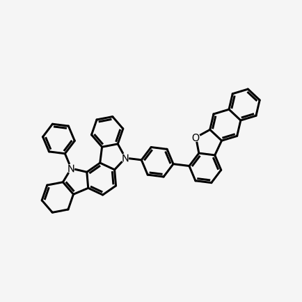 C1=Cc2c(c3ccc4c(c5ccccc5n4-c4ccc(-c5cccc6c5oc5cc7ccccc7cc56)cc4)c3n2-c2ccccc2)CC1